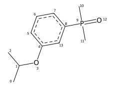 CC(C)Oc1cccc(P(C)(C)=O)c1